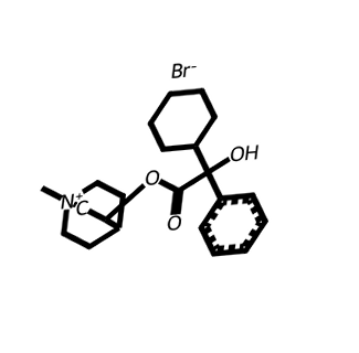 C[N+]12CCC(CC1)C(OC(=O)C(O)(c1ccccc1)C1CCCCC1)C2.[Br-]